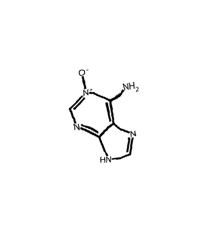 Nc1c2nc[nH]c2nc[n+]1[O-]